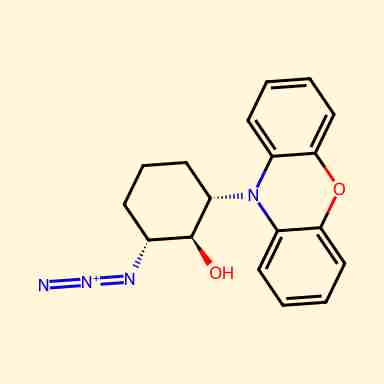 [N-]=[N+]=N[C@@H]1CCC[C@H](N2c3ccccc3Oc3ccccc32)[C@H]1O